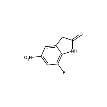 O=C1Cc2cc([N+](=O)[O-])cc(F)c2N1